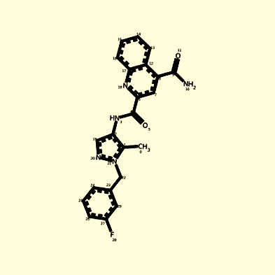 Cc1c(NC(=O)c2cc(C(N)=O)c3ccccc3n2)cnn1Cc1cccc(F)c1